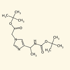 CC(NC(=O)OC(C)(C)C)c1cn(CC(=O)OC(C)(C)C)cn1